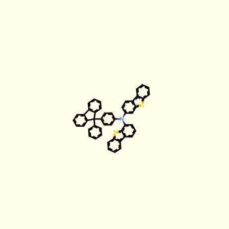 c1ccc(C2(c3ccc(N(c4ccc5c(c4)sc4ccccc45)c4cccc5c4sc4ccccc45)cc3)c3ccccc3-c3ccccc32)cc1